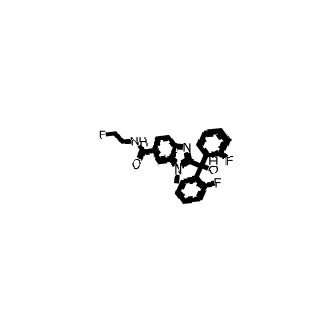 Cn1c(C(O)(c2ccccc2F)c2ccccc2F)nc2ccc(C(=O)NCCF)cc21